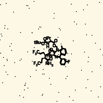 Cc1cccc2c1N(COC(=O)[C@@H](NC(=O)OC(C)(C)C)C(C)C)C(=O)[C@@H](NC(=O)[C@H](CCC(F)(F)F)[C@H](CCC(F)(F)F)C(N)=O)N=C2c1cccc(F)c1